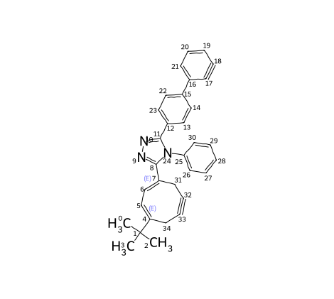 CC(C)(C)/C1=C/C=C(/c2nnc(-c3ccc(-c4c#cccc4)cc3)n2-c2ccccc2)CC#CC1